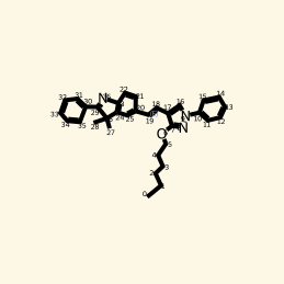 CCCCCCOc1nn(-c2ccccc2)cc1/C=C/c1ccc2c(c1)C(C)(C)C(c1ccccc1)=N2